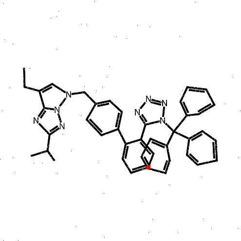 CCc1cn(Cc2ccc(-c3ccccc3-c3nnnn3C(c3ccccc3)(c3ccccc3)c3ccccc3)cc2)n2nc(C(C)C)nc12